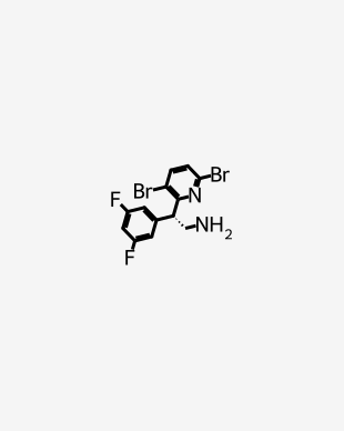 NC[C@H](c1cc(F)cc(F)c1)c1nc(Br)ccc1Br